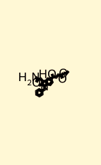 CCOC(=O)CCC(O)c1ccc2c(c1)c(CC(N)=O)c(C)n2Cc1ccccc1